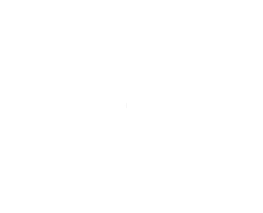 CC(C(=O)C1=C(O)C(C2CCCCC2)OC1(C)C=O)c1ccccc1-c1ccccc1